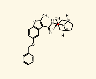 Cc1oc2ccc(OCc3ccccc3)cc2c1C(=O)NC1C[C@H]2CC[C@@H](C1)N2C(=O)O